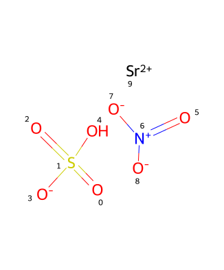 O=S(=O)([O-])O.O=[N+]([O-])[O-].[Sr+2]